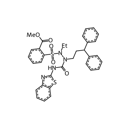 CCN(N(CCC(c1ccccc1)c1ccccc1)C(=O)Nc1nc2ccccc2s1)S(=O)(=O)c1ccccc1C(=O)OC